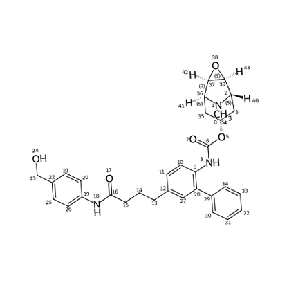 CN1[C@H]2C[C@H](OC(=O)Nc3ccc(CCCC(=O)Nc4ccc(CO)cc4)cc3-c3ccccc3)C[C@H]1[C@H]1O[C@H]12